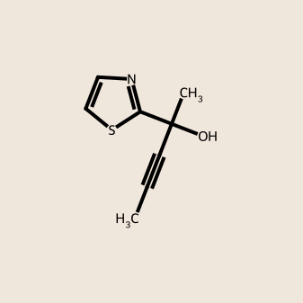 CC#CC(C)(O)c1nccs1